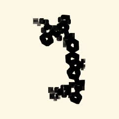 COC(=O)NC(C(=O)N1CC2(CC1c1nc3ccc(-c4ccc5c(c4)C(F)(F)c4cc(-c6cnc(C7CCCN7C(=O)OC(C)(C)C)[nH]6)ccc4-5)cc3[nH]1)OCCO2)c1ccccc1